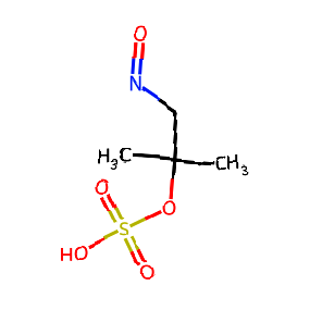 CC(C)(CN=O)OS(=O)(=O)O